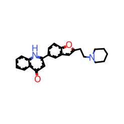 O=c1cc(-c2ccc3oc(CCN4CCCCC4)cc3c2)[nH]c2ccccc12